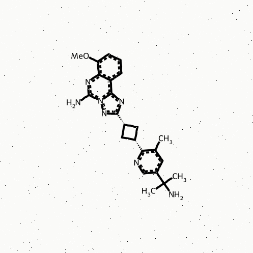 COc1cccc2c1nc(N)n1nc([C@H]3C[C@@H](c4ncc(C(C)(C)N)cc4C)C3)nc21